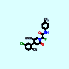 COc1cn(C(F)C(=O)Nc2ccc(C(F)(F)F)cc2)c(=O)cc1-c1cc(Cl)ccc1C#N